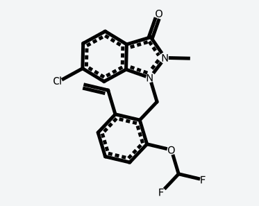 C=Cc1cccc(OC(F)F)c1Cn1c2cc(Cl)ccc2c(=O)n1C